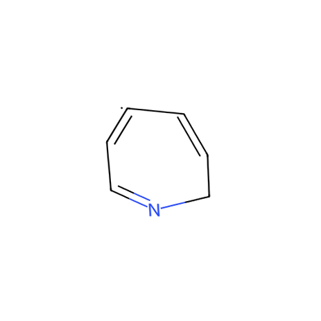 [C]1=CC=NCC=C1